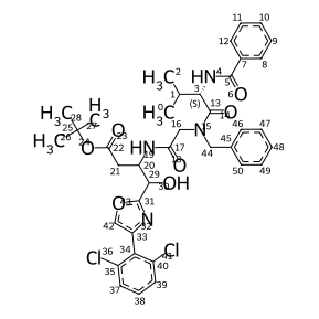 CC(C)[C@H](NC(=O)c1ccccc1)C(=O)N(CC(=O)NC(CC(=O)OC(C)(C)C)C(O)c1nc(-c2c(Cl)cccc2Cl)co1)Cc1ccccc1